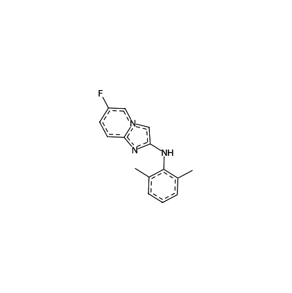 Cc1cccc(C)c1Nc1cn2cc(F)ccc2n1